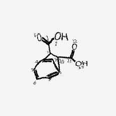 O=C(O)C1c2cccc(c2)C1C(=O)O